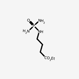 CCOC(=O)CCCNP(N)(N)=O